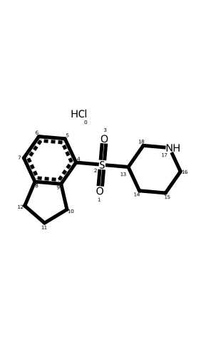 Cl.O=S(=O)(c1cccc2c1CCC2)C1CCCNC1